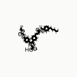 CCCCCc1ccc(C(C)NC(=O)C=Cc2ccc(-c3sc(C(=O)O)nc3-c3ccc(OCC(=O)OCC)cc3)cc2)cc1